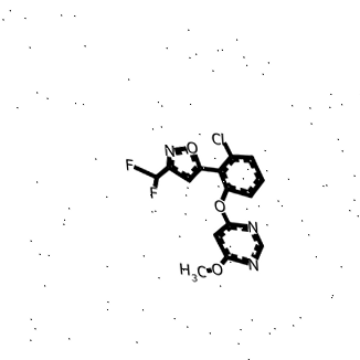 COc1cc(Oc2cccc(Cl)c2-c2cc(C(F)F)no2)ncn1